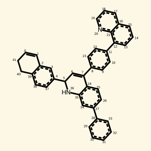 C1=Cc2cc(C3C=C(c4ccc(-c5cccc6cccnc56)cc4)c4ccc(-c5ccccc5)cc4N3)ccc2CC1